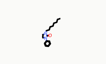 CCCCCCCCN1CCN(c2ccccc2)C1=O